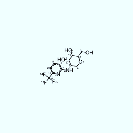 OC[C@H]1OC[C@H](Nc2cccc(C(F)(F)F)n2)[C@@H](O)[C@H]1O